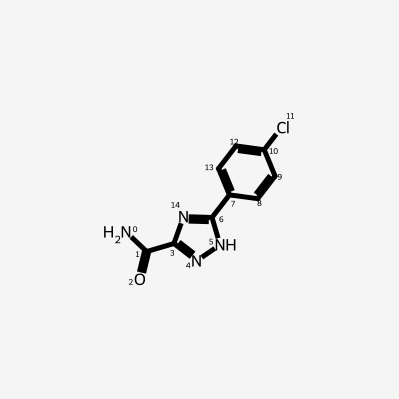 NC(=O)c1n[nH]c(-c2ccc(Cl)cc2)n1